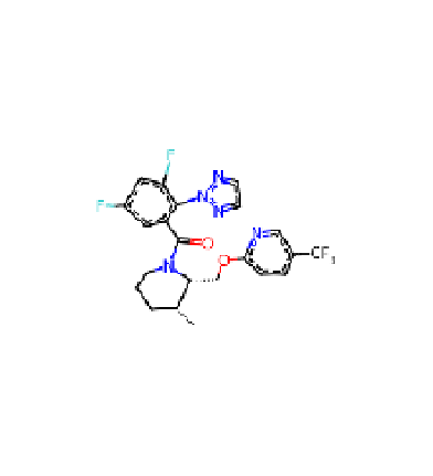 C[C@@H]1CCCN(C(=O)c2cc(F)cc(F)c2-n2nccn2)[C@@H]1COc1ccc(C(F)(F)F)cn1